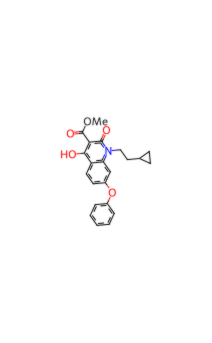 COC(=O)c1c(O)c2ccc(Oc3ccccc3)cc2n(CCC2CC2)c1=O